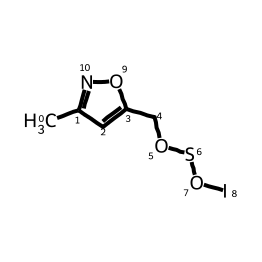 Cc1cc(COSOI)on1